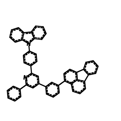 c1ccc(-c2cc(-c3cccc(-c4ccc5c6c(cccc46)-c4ccccc4-5)c3)cc(-c3ccc(-n4c5ccccc5c5ccccc54)cc3)n2)cc1